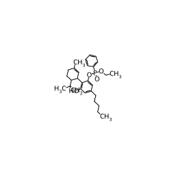 C=C(C)C1CCC(C)=CC1c1c(O)cc(CCCCC)cc1OP(=O)(OCC)c1ccccc1